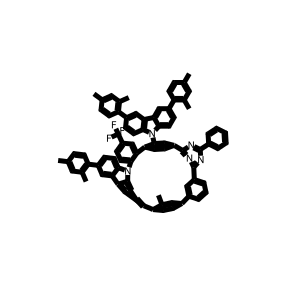 Cc1ccc(-c2ccc3c(c2)c2cc(-c4ccc(C)cc4C)ccc2n3-c2cc3ccc2c2cc(C(F)(F)F)ccc2n2c4ccc(-c5ccc(C)cc5C)cc4c4cc(ccc42)c2ccc(cc2C)c2cccc(c2)c2nc(-c4ccccc4)nc3n2)c(C)c1